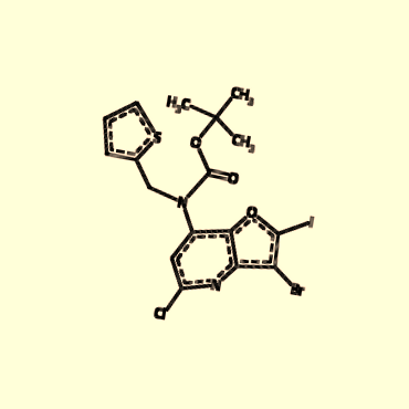 CC(C)(C)OC(=O)N(Cc1cccs1)c1cc(Cl)nc2c(Br)c(I)oc12